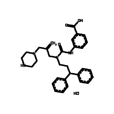 C=C(CN1CCNCC1)CN(CCC(c1ccccc1)c1ccccc1)C(=O)Nc1cccc(C(=O)O)c1.Cl